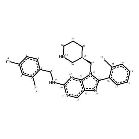 Fc1cc(Cl)ccc1CNc1ncc2nc(-c3ccccc3I)n(C[C@@H]3CCCNC3)c2n1